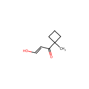 CC1(C(=O)C=CO)CCC1